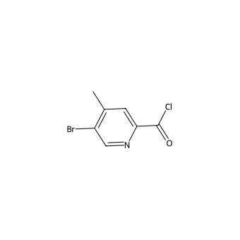 Cc1cc(C(=O)Cl)ncc1Br